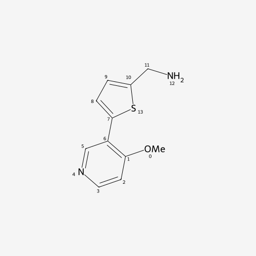 COc1ccncc1-c1ccc(CN)s1